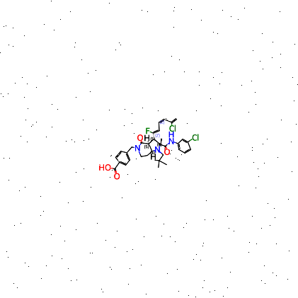 C=C(Cl)/C=C\C=C(/F)[C@H]1[C@@H]2C(=O)N(Cc3ccc(C(=O)O)cc3)CC[C@@H]2N(CC(C)(C)C)[C@@]1(C)C(=O)Nc1cccc(Cl)c1